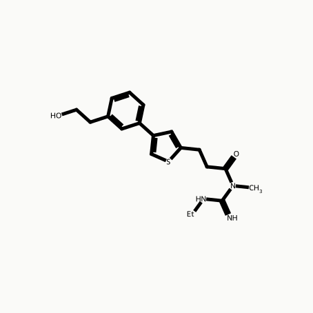 CCNC(=N)N(C)C(=O)CCc1cc(-c2cccc(CCO)c2)cs1